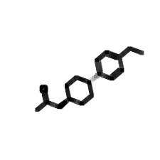 CCc1ccc([C@H]2CC[C@H](CC(C)=O)CC2)cc1